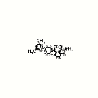 Cc1cc(C)nc(N2CCN(C(=O)c3cccc4c3C(=O)N(C)C4)CCO2)n1